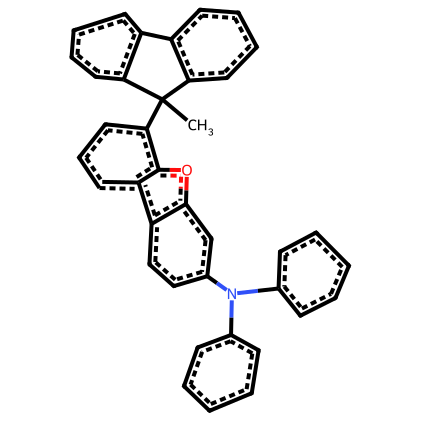 CC1(c2cccc3c2oc2cc(N(c4ccccc4)c4ccccc4)ccc23)c2ccccc2-c2ccccc21